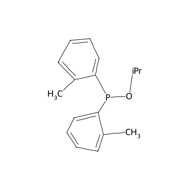 Cc1ccccc1P(OC(C)C)c1ccccc1C